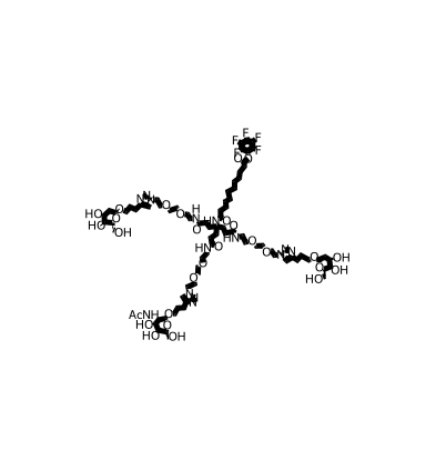 CC(=O)N[C@H]1[C@H](OCCCc2cn(CCOCCOCCNC(=O)CCC(CCC(=O)NCCOCCOCCn3cc(CCCO[C@H]4C[C@@H](O)[C@@H](O)[C@@H](CO)O4)nn3)(CCC(=O)NCCOCCOCCn3cc(CCCO[C@H]4C[C@@H](O)[C@@H](O)[C@@H](CO)O4)nn3)NC(=O)CCCCCCCCCCC(=O)Oc3c(F)c(F)c(F)c(F)c3F)nn2)O[C@H](CO)[C@H](O)[C@@H]1O